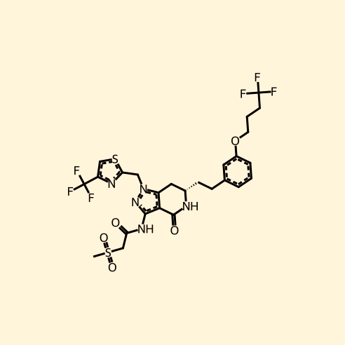 CS(=O)(=O)CC(=O)Nc1nn(Cc2nc(C(F)(F)F)cs2)c2c1C(=O)N[C@@H](CCc1cccc(OCCCC(F)(F)F)c1)C2